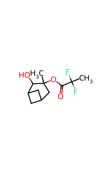 CC(F)(F)C(=O)OC1(C)CC2CC(C2)C1O